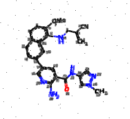 C=C(C#N)CNc1c(OC)ccc2ccc(-c3cnc(N)c(C(=O)Nc4cnn(C)c4)c3)cc12